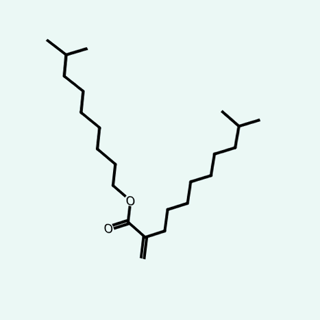 C=C(CCCCCCCC(C)C)C(=O)OCCCCCCCC(C)C